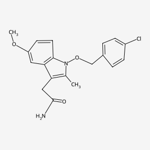 COc1ccc2c(c1)c(CC(N)=O)c(C)n2OCc1ccc(Cl)cc1